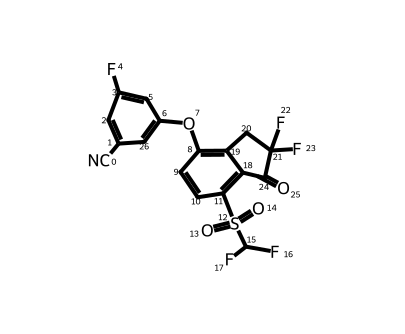 N#Cc1cc(F)cc(Oc2ccc(S(=O)(=O)C(F)F)c3c2CC(F)(F)C3=O)c1